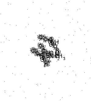 CN1CCN(Cc2ccc(C(=O)Nc3nc(-c4ccc5c(c4)Cc4ccccc4-5)cs3)cc2)CC1.NC(=O)c1nc(-c2ccc3c(c2)Cc2ccccc2-3)cs1.O=C(Nc1nc(-c2ccc3c(c2)Cc2ccccc2-3)cs1)c1cc(I)c(I)c(I)c1